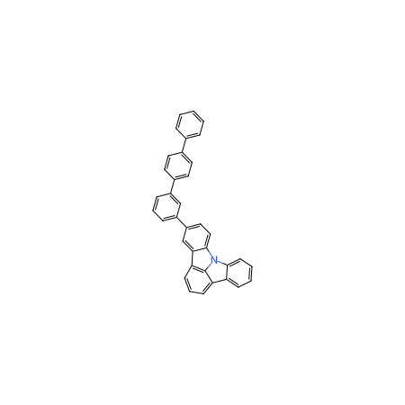 c1ccc(-c2ccc(-c3cccc(-c4ccc5c(c4)c4cccc6c7ccccc7n5c64)c3)cc2)cc1